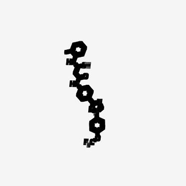 Cc1ccccc1N/C(S)=C/C(=O)Nc1ccc(-c2ncn(-c3ccc(OC(F)(F)F)cc3)n2)cc1